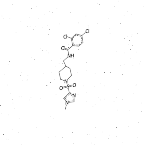 Cn1cnc(S(=O)(=O)N2CCC(CNC(=O)c3ccc(Cl)cc3Cl)CC2)c1